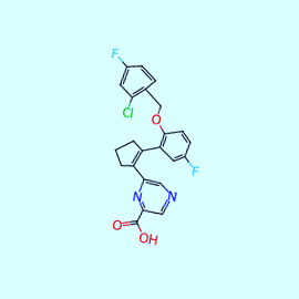 O=C(O)c1cncc(C2=C(c3cc(F)ccc3OCc3ccc(F)cc3Cl)CCC2)n1